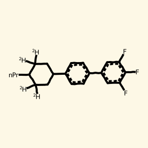 [2H]C1([2H])CC(c2ccc(-c3cc(F)c(F)c(F)c3)cc2)CC([2H])([2H])C1CCC